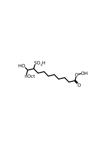 CCCCCCCCC(O)C(CCCCCCCC(=O)OO)S(=O)(=O)O